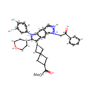 COC(=O)C1CC2(C1)CC(c1c(C3CCOCC3)n(-c3ccc(F)c(F)c3)c3cc4cnn(CC(=O)c5ccccc5)c4cc13)C2